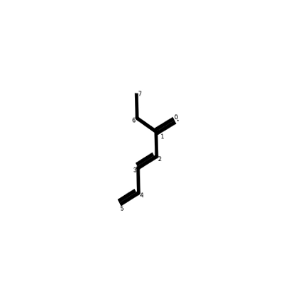 [CH]=C(/C=C/C=C)CC